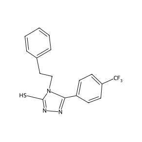 FC(F)(F)c1ccc(-c2nnc(S)n2CCc2ccccc2)cc1